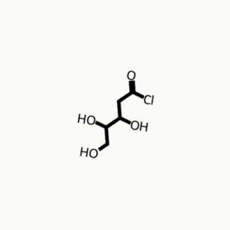 O=C(Cl)CC(O)C(O)CO